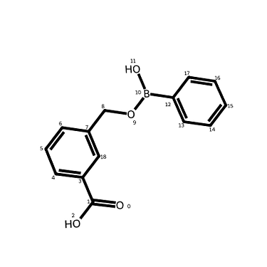 O=C(O)c1cccc(COB(O)c2ccccc2)c1